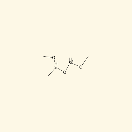 CO[SiH2]O[SiH](C)OC